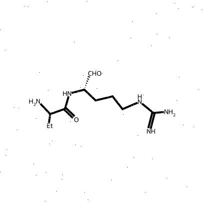 CCC(N)C(=O)N[C@H]([C]=O)CCCNC(=N)N